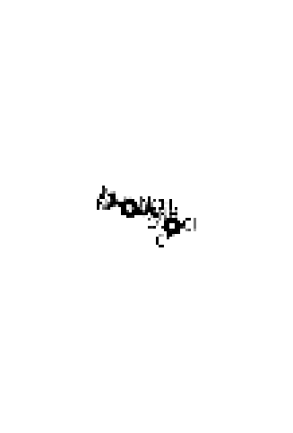 C[C@@](N)(Cc1ccc(-c2cncnc2)cc1)C(=O)Nc1cc(Cl)cc(Cl)c1